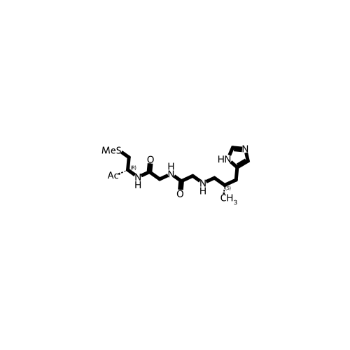 CSC[C@H](NC(=O)CNC(=O)CNC[C@@H](C)Cc1cnc[nH]1)C(C)=O